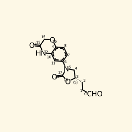 O=CCC[C@H]1CN(c2ccc3c(c2)NC(=O)CO3)C(=O)O1